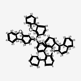 c1ccc(-c2cccc(-n3c4ccccc4c4c5ccccc5ccc43)c2-c2ccc(N(c3ccc4c(c3)oc3ccccc34)c3cccc4c3oc3ccccc34)cc2)cc1